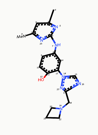 CNc1cc(C)nc(Nc2ccc(O)c(-n3cnc(CN4CCC4)n3)c2)n1